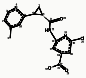 Cc1ccnc(C2C[C@@H]2C(=O)Nc2cc([N+](=O)[O-])cc(Cl)n2)c1